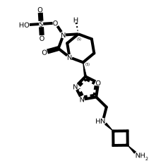 N[C@H]1C[C@@H](NCc2nnc([C@@H]3CC[C@H]4CN3C(=O)N4OS(=O)(=O)O)o2)C1